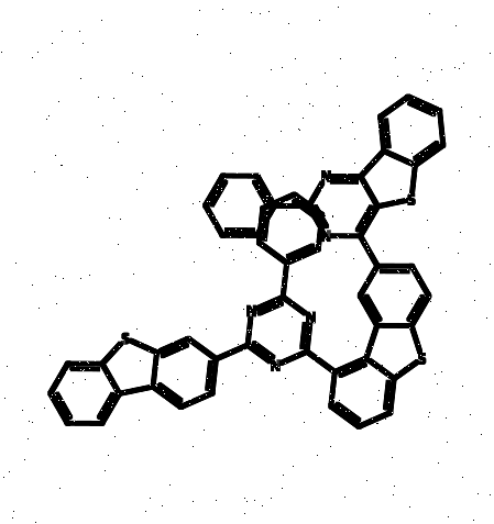 c1ccc(-c2nc(-c3ccc4c(c3)sc3ccccc34)nc(-c3cccc4sc5ccc(-c6nc(-c7ccccc7)nc7c6sc6ccccc67)cc5c34)n2)cc1